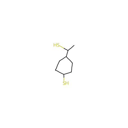 CC(S)C1CCC(S)CC1